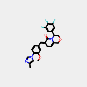 COc1cc(C=C2CC=C3COCC(c4cc(F)c(F)c(F)c4)N3C2=O)ccc1-n1cnc(C)c1